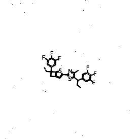 CCC(c1cc(F)c(F)c(F)c1)c1sc(-c2cc3c(s2)C(CC)(c2cc(F)c(F)c(F)c2)C3)nc1C